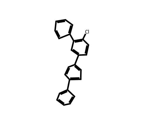 Clc1ccc(-c2ccc(-c3ccccc3)cc2)cc1-c1ccccc1